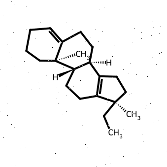 CC[C@]1(C)CCC2=C1CC[C@H]1[C@H]2CCC2=CCCC[C@@]21C